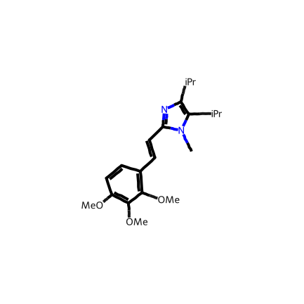 COc1ccc(/C=C/c2nc(C(C)C)c(C(C)C)n2C)c(OC)c1OC